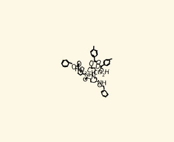 Cc1ccc(C(=O)O[C@@H](C(=O)O)[C@@H](OC(=O)c2ccc(C)cc2)C(=O)O)cc1.O=C(NC1CCN(C(=O)OCc2ccccc2)C1)C1CC[C@H](NOCc2ccccc2)CN1